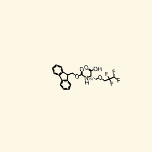 O=C(N[C@@H](COCC(F)(F)C(F)F)C(=O)O)OCC1c2ccccc2-c2ccccc21